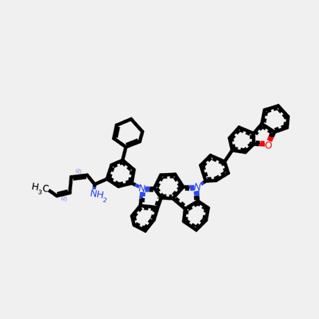 C/C=C\C=C/C(N)c1cc(C2=CCCC=C2)cc(-n2c3ccccc3c3c4c5ccccc5n(-c5ccc(-c6ccc7c(c6)oc6ccccc67)cc5)c4ccc32)c1